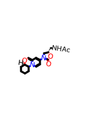 CC(=O)NC[C@H]1CN(C2=CC3=CO[C@@H]4CCCCC4N3C=C2)C(=O)O1